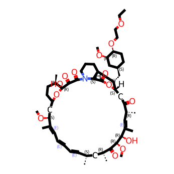 CCOCCO[C@@H]1CC[C@@H](C[C@H]2C3CCCN4C(=O)C(=O)[C@]5(O)OC(CC[C@H]5C)C[C@H](OC)/C(C)=C/C=C/C=C/[C@@H](C)C[C@@H](C)C(=O)[C@H](OC)[C@H](O)/C(C)=C/[C@@H](C)C(=O)C[C@@H]2OC(=O)[C@H]34)C[C@H]1OC